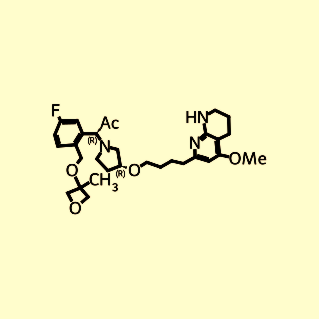 COc1cc(CCCCO[C@@H]2CCN([C@@H](C(C)=O)c3cc(F)ccc3COC3(C)COC3)C2)nc2c1CCCN2